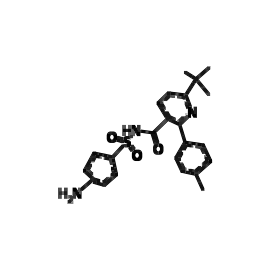 Cc1ccc(-c2nc(C(C)(C)C)ccc2C(=O)NS(=O)(=O)c2ccc(N)cc2)cc1